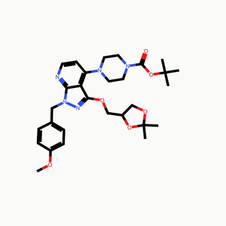 COc1ccc(Cn2nc(OCC3COC(C)(C)O3)c3c(N4CCN(C(=O)OC(C)(C)C)CC4)ccnc32)cc1